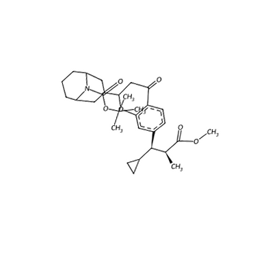 COC(=O)[C@@H](C)[C@H](c1ccc2c(c1)OC(C1CC3CCCC(C1)N3C(=O)OC(C)(C)C)CC2=O)C1CC1